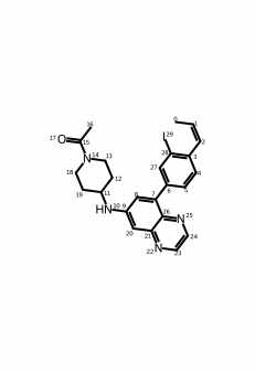 C/C=C\c1ccc(-c2cc(NC3CCN(C(C)=O)CC3)cc3nccnc23)cc1I